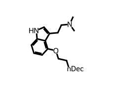 CCCCCCCCCCCCOc1cccc2[nH]cc(CCN(C)C)c12